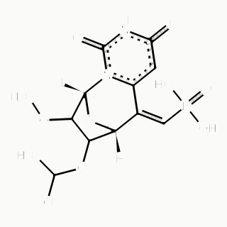 COC1C(OC(C)C)[C@@H]2O[C@H]1n1c(cc(=O)[nH]c1=O)/C2=C\P(=O)(O)O